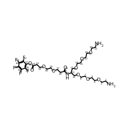 NCCOCCOCCOCC(COCCOCCOCCN)NC(=O)CCOCCOCCC(=O)Oc1c(F)c(F)c(F)c(F)c1F